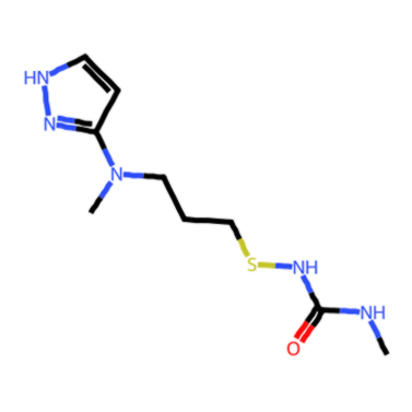 CNC(=O)NSCCCN(C)c1cc[nH]n1